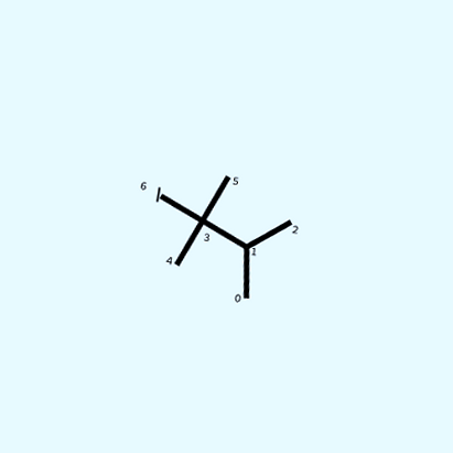 CC(C)C(C)(C)I